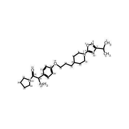 CC(C)c1noc(N2CCC(CCCOc3ccc(C([AsH2])C(=O)N4CCCC4)cc3)CC2)n1